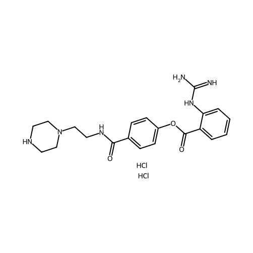 Cl.Cl.N=C(N)Nc1ccccc1C(=O)Oc1ccc(C(=O)NCCN2CCNCC2)cc1